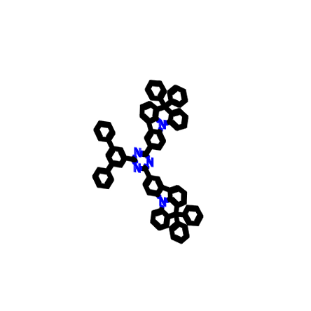 c1ccc(-c2cc(-c3ccccc3)cc(-c3nc(-c4ccc5c(c4)c4cccc6c4n5-c4ccccc4C6(c4ccccc4)c4ccccc4)nc(-c4ccc5c(c4)c4cccc6c4n5-c4ccccc4C6(c4ccccc4)c4ccccc4)n3)c2)cc1